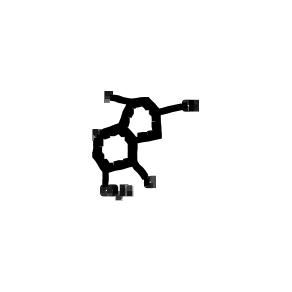 CCOC(=O)c1cnc2c(F)cc(C#N)cc2c1Cl